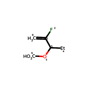 C=C(F)C(CC)OC(=O)O